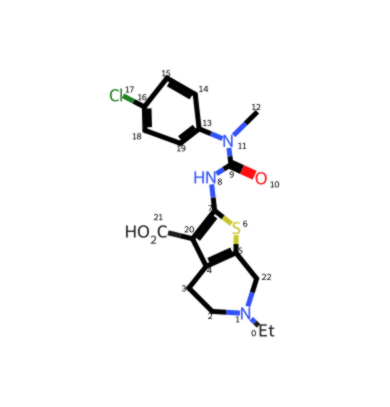 CCN1CCc2c(sc(NC(=O)N(C)c3ccc(Cl)cc3)c2C(=O)O)C1